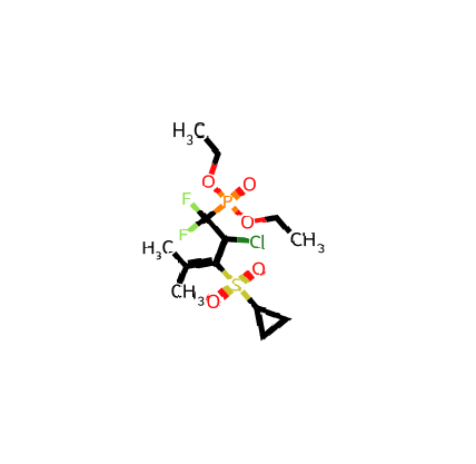 CCOP(=O)(OCC)C(F)(F)C(Cl)C(=C(C)C)S(=O)(=O)C1CC1